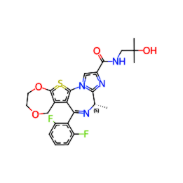 C[C@@H]1N=C(c2c(F)cccc2F)c2c(sc3c2COCCO3)-n2cc(C(=O)NCC(C)(C)O)nc21